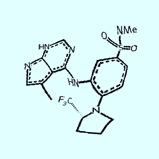 CNS(=O)(=O)c1ccc(N2CCC[C@@H]2C(F)(F)F)c(Nc2nc[nH]c3ncc(C)c2-3)c1